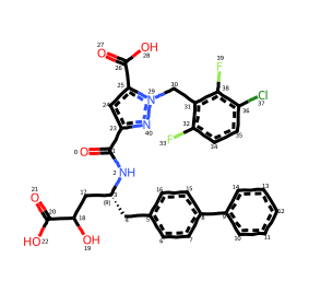 O=C(N[C@H](Cc1ccc(-c2ccccc2)cc1)CC(O)C(=O)O)c1cc(C(=O)O)n(Cc2c(F)ccc(Cl)c2F)n1